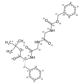 CC(C)(C)OC(=O)[C@@H](Cc1ccccc1)NC(=O)CNC(=O)CNC(=O)OCc1ccccc1